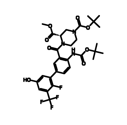 COC(=O)[C@@H]1CN(C(=O)OC(C)(C)C)CCN1C(=O)c1cc(-c2cc(O)cc(C(F)(F)F)c2F)ccc1NC(=O)OC(C)(C)C